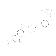 [2H]C1(Oc2ccc3c(c2)OC([2H])([2H])C([2H])([2H])O3)CCN(c2nn3c(=O)cc(C(C)C)nc3c(C)c2C)CC1